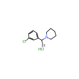 CCC(c1cccc(Cl)c1)N1CCCCC1.Cl